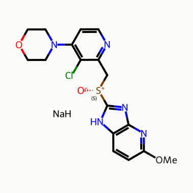 COc1ccc2[nH]c([S@+]([O-])Cc3nccc(N4CCOCC4)c3Cl)nc2n1.[NaH]